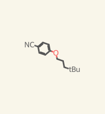 CC(C)(C)CCCOc1ccc(C#N)cc1